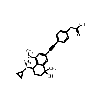 COc1cc(C#Cc2ccc(CC(=O)O)cc2)cc2c1C(N(C)C1CC1)CCC2(C)C